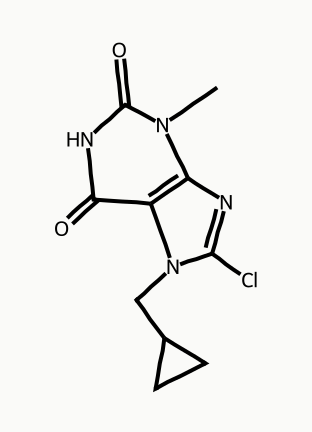 Cn1c(=O)[nH]c(=O)c2c1nc(Cl)n2CC1CC1